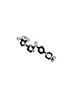 CCC1(C#N)CCN(c2ccnc(Nc3ccc(N4CCS(=O)(=O)CC4)cc3)n2)C1=O